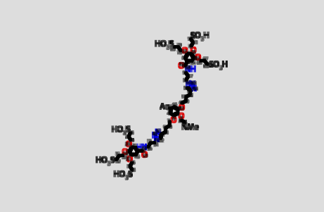 CNCCOc1c(OCCCCc2cn(CCCNC(=O)c3cc(OCCCS(=O)(=O)O)c(OCCCS(=O)(=O)O)c(OCCCS(=O)(=O)O)c3)nn2)cc(C(C)=O)cc1OCCCCc1cn(CCCNC(=O)c2cc(OCCCS(=O)(=O)O)c(OCCCS(=O)(=O)O)c(OCCCS(=O)(=O)O)c2)nn1